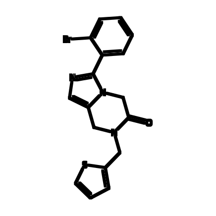 O=C1Cn2c(cnc2-c2ccccc2Br)CN1Cc1cccs1